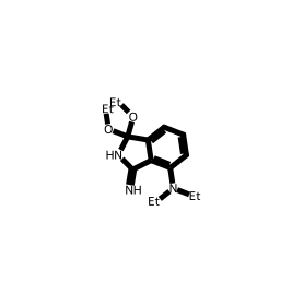 CCOC1(OCC)NC(=N)c2c(N(CC)CC)cccc21